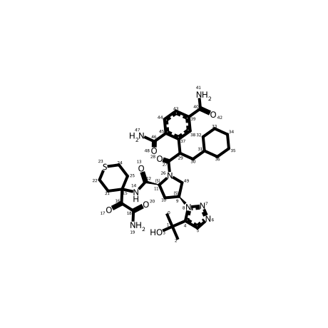 CC(C)(O)c1cnnn1[C@H]1C[C@@H](C(=O)NC2(C(=O)C(N)=O)CCSCC2)N(C(=O)C(CC2CCCCC2)c2cc(C(N)=O)ccc2C(N)=O)C1